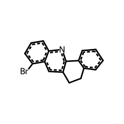 Brc1cccc2nc3c(cc12)CCc1ccccc1-3